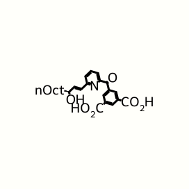 CCCCCCCC[C@H](O)/C=C/c1cccc(C(=O)c2cc(C(=O)O)cc(C(=O)O)c2)n1